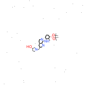 Cc1c(Nc2nccc3cc(CN4CCC(O)C4)cnc23)cccc1B1OC(C)(C)C(C)(C)O1